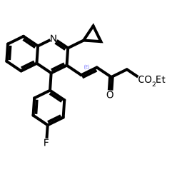 CCOC(=O)CC(=O)/C=C/c1c(C2CC2)nc2ccccc2c1-c1ccc(F)cc1